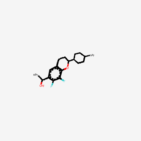 CCCC1CCC(C2CCc3cc(C(O)CCC)c(F)c(F)c3O2)CC1